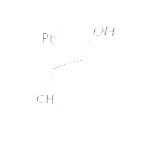 CCCO.[Pt+2]